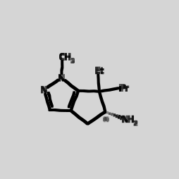 CCC1(C(C)C)c2c(cnn2C)C[C@H]1N